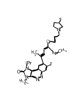 C=N/C(=C\C=C(/C)c1cc2c(cc1F)nnc1c2n(C(C)C)c(=O)n1C)OCCCN1CC[C@@H](F)C1